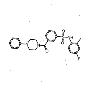 Cc1cc(F)ccc1NS(=O)(=O)c1cccc(C(=O)N2CCN(c3ccccc3)CC2)c1